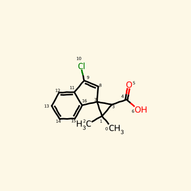 CC1(C)C(C(=O)O)C12C=C(Cl)c1ccccc12